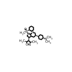 C=S(=O)(c1ccccc1)n1cc(-c2c(C)noc2C)c2cc(-c3ccc(N(C)C)cc3)cnc21